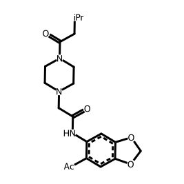 CC(=O)c1cc2c(cc1NC(=O)CN1CCN(C(=O)CC(C)C)CC1)OCO2